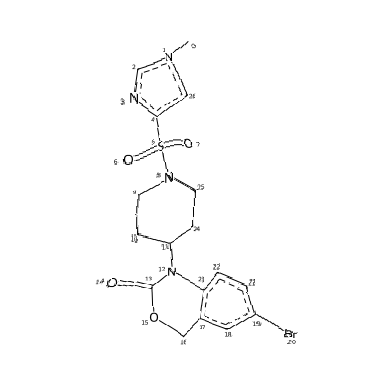 Cn1cnc(S(=O)(=O)N2CCC(N3C(=O)OCc4cc(Br)ccc43)CC2)c1